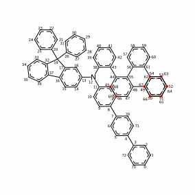 c1ccc(-c2ccc(-c3ccc(N(c4ccc5c(c4)C(c4ccccc4)(c4ccccc4)c4ccccc4-5)c4ccccc4-c4cccc(-c5ccccc5)c4-c4ccccc4-c4ccccc4)cc3)cc2)cc1